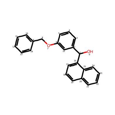 OC(c1cccc(OCc2ccccc2)c1)c1cccc2ccccc12